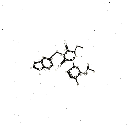 COc1nn(-c2ccc(F)c(NC(C)=O)c2)c(=O)n(Cc2cnc3occc3c2)c1=O